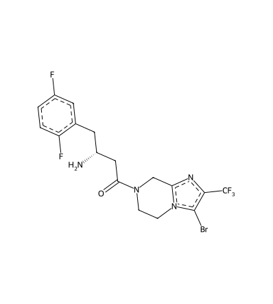 N[C@@H](CC(=O)N1CCn2c(nc(C(F)(F)F)c2Br)C1)Cc1cc(F)ccc1F